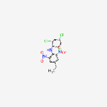 CCc1cc([N+](=O)[O-])c(Nc2c(Cl)cc(Cl)cc2Cl)c([N+](=O)[O-])c1